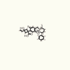 C=CC1(O)CC(C(=O)O)(c2cc(F)c(CN3[C@@H](C)CC[C@H](c4ccccc4)S3(=O)=O)cc2F)C1